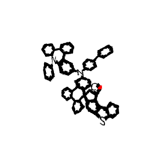 c1ccc(-c2ccc(N(c3ccc4c(c3)-c3ccccc3-c3ccccc3N4c3ccccc3)c3ccc4c(c3)-c3ccccc3-c3ccccc3C43c4ccccc4-c4c3ccc3sc5ccccc5c43)cc2)cc1